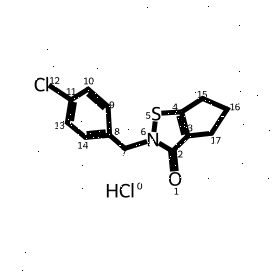 Cl.O=c1c2c(sn1Cc1ccc(Cl)cc1)CCC2